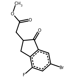 COC(=O)CC1Cc2c(F)cc(Br)cc2C1=O